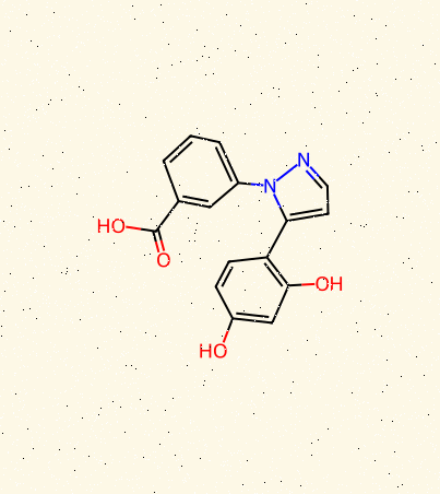 O=C(O)c1cccc(-n2nccc2-c2ccc(O)cc2O)c1